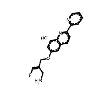 Cl.NC/C(=C\F)COc1ccc2nc(-c3ccccn3)ccc2c1